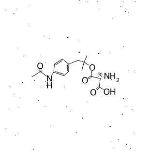 CC(=O)Nc1ccc(CC(C)(C)OC(=O)[C@H](N)C(=O)O)cc1